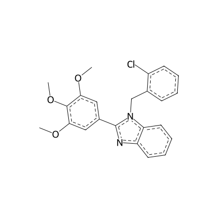 COc1cc(-c2nc3ccccc3n2Cc2ccccc2Cl)cc(OC)c1OC